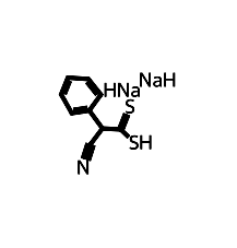 N#CC(C(=S)S)c1ccccc1.[NaH].[NaH]